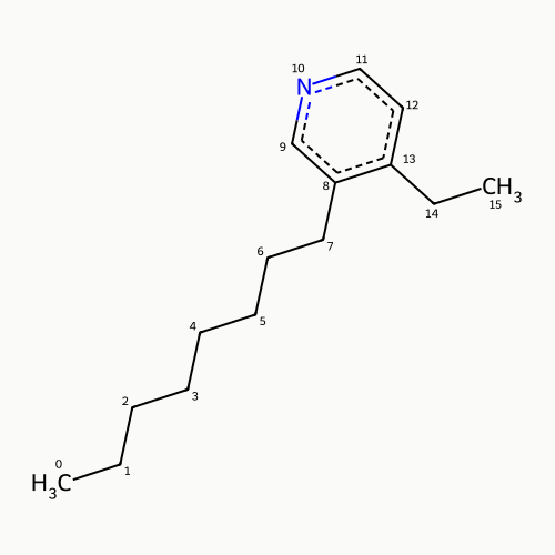 CCCCCCCCc1cnccc1CC